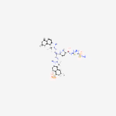 CCN1/C(=C/C=C(/C=C/C2=[N+](CC)c3ccc4c(S(=O)(=O)[O-])cc(S(=O)(=O)O)cc4c3C2(C)C)c2ccc(C(=O)Nc3nnc(S(N)(=O)=O)s3)cn2)C(C)(C)c2c1ccc1c(S(=O)(=O)O)cc(S(=O)(=O)O)cc21